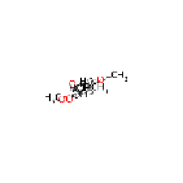 CCCCOC[C@H]1CC[C@H]2[C@@H]3CC(=O)[C@H]4C[C@@H](OCOC)CC[C@]4(C)[C@H]3CC[C@]12C